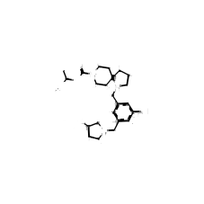 CC(OC(=O)N1CCC2(CCCN2Cc2cc(CN3CCC(C(=O)O)C3)cc(C(F)(F)F)c2)CC1)C(F)(F)F